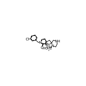 CC(C)(C)C1(Cc2ccn(Cc3cccc(Cl)c3)c(=O)c2O)CNCCN1C(=O)O